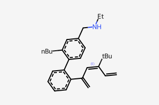 C=C/C(=C\C(=C)c1ccccc1-c1ccc(CNCC)cc1CCCC)C(C)(C)C